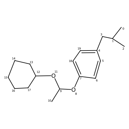 CC(C)Cc1ccc(OC(C)OC2CCCCC2)cc1